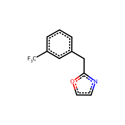 FC(F)(F)c1cccc(Cc2ncco2)c1